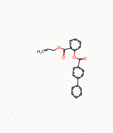 C=CCOC(=O)c1ccccc1OC(=O)c1ccc(-c2ccccc2)cc1